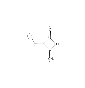 CCC1C(=O)OC1C